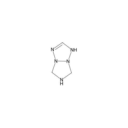 C1=NN2CNCN2N1